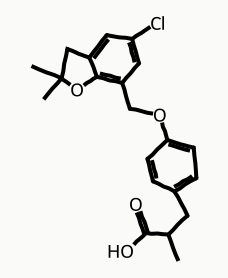 CC(Cc1ccc(OCc2cc(Cl)cc3c2OC(C)(C)C3)cc1)C(=O)O